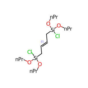 CCCO[Si](Cl)(C/C=C/C[Si](Cl)(OCCC)OCCC)OCCC